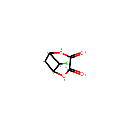 O=C1OC2CC(OC1=O)C2Cl